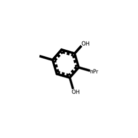 CCCc1c(O)cc(C)cc1O